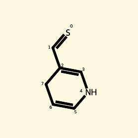 S=CC1=CNC=CC1